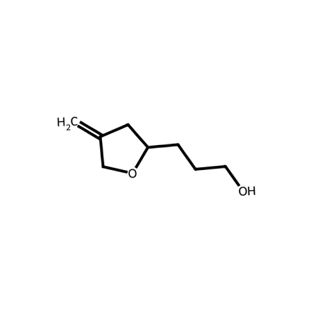 C=C1COC(CCCO)C1